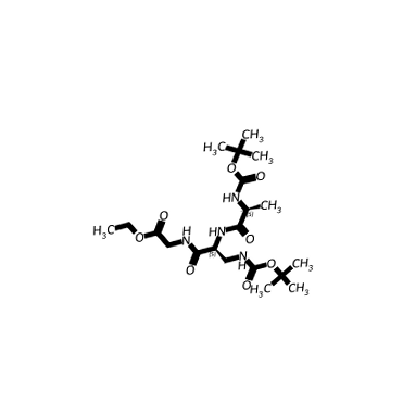 CCOC(=O)CNC(=O)[C@H](CNC(=O)OC(C)(C)C)NC(=O)[C@H](C)NC(=O)OC(C)(C)C